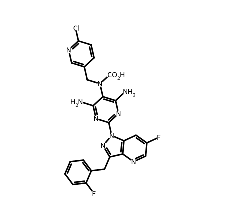 Nc1nc(-n2nc(Cc3ccccc3F)c3ncc(F)cc32)nc(N)c1N(Cc1ccc(Cl)nc1)C(=O)O